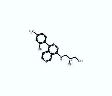 OC[C@@H](O)CNc1nnc(-c2ccc(C(F)(F)F)cc2O)c2ccncc12